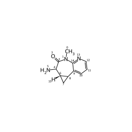 CN1C(=O)C(N)[C@H]2CC2c2cccnc21